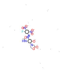 CCN(CC(=O)OC)c1cc(NC(C)=O)c(/N=N/c2cc(F)c([N+](=O)[O-])cc2[N+](=O)[O-])cc1OC